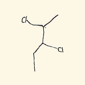 CCC(Cl)[C](C)Cl